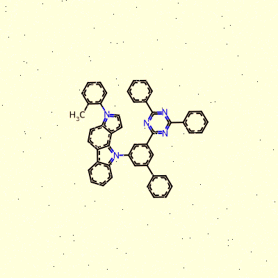 Cc1ccccc1-n1ccc2c1ccc1c3ccccc3n(-c3cc(-c4ccccc4)cc(-c4nc(-c5ccccc5)nc(-c5ccccc5)n4)c3)c12